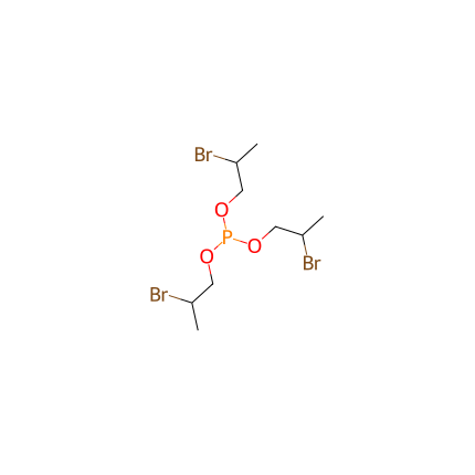 CC(Br)COP(OCC(C)Br)OCC(C)Br